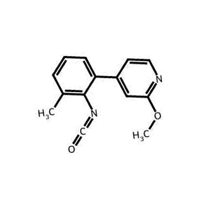 COc1cc(-c2cccc(C)c2N=C=O)ccn1